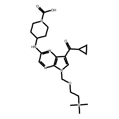 C[Si](C)(C)CCOCn1cc(C(=O)C2CC2)c2nc(NC3CCN(C(=O)O)CC3)cnc21